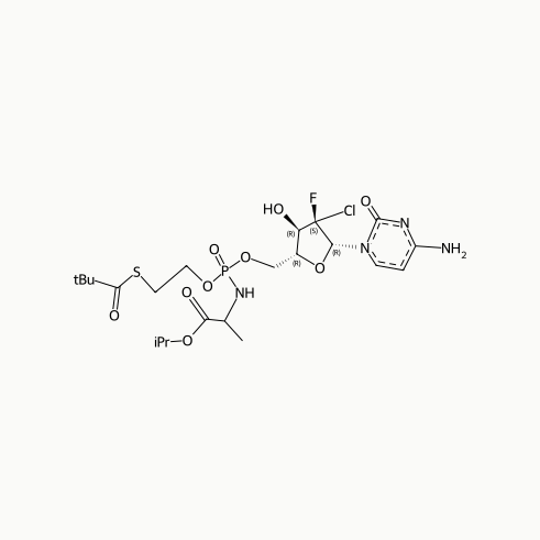 CC(C)OC(=O)C(C)NP(=O)(OCCSC(=O)C(C)(C)C)OC[C@H]1O[C@@H](n2ccc(N)nc2=O)[C@@](F)(Cl)[C@@H]1O